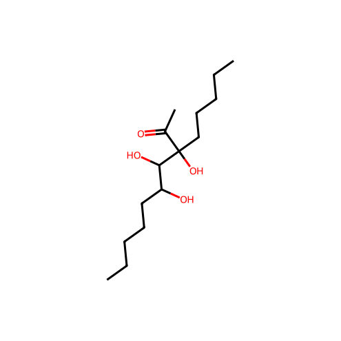 CCCCCC(O)C(O)C(O)(CCCCC)C(C)=O